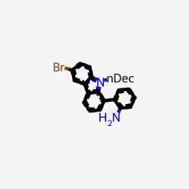 CCCCCCCCCCn1c2ccc(Br)cc2c2cccc(-c3ccccc3N)c21